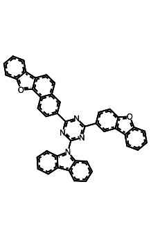 c1ccc2c(c1)oc1ccc(-c3nc(-c4ccc5c(ccc6c7ccccc7oc56)c4)nc(-n4c5ccccc5c5ccccc54)n3)cc12